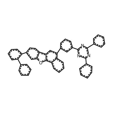 c1ccc(-c2nc(-c3ccccc3)nc(-c3cccc(-c4cc5c6ccc(-c7ccccc7-c7ccccc7)cc6oc5c5ccccc45)c3)n2)cc1